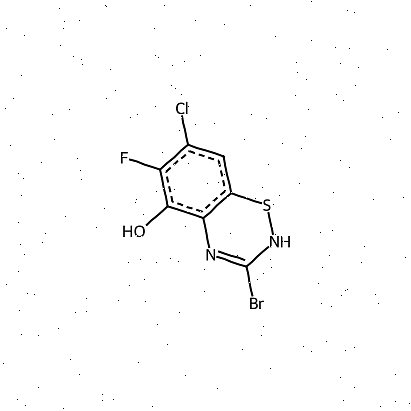 Oc1c(F)c(Cl)cc2c1N=C(Br)NS2